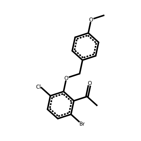 COc1ccc(COc2c(Cl)ccc(Br)c2C(C)=O)cc1